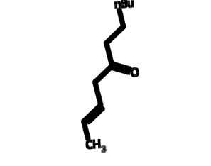 CC=CCC(=O)CCCCCC